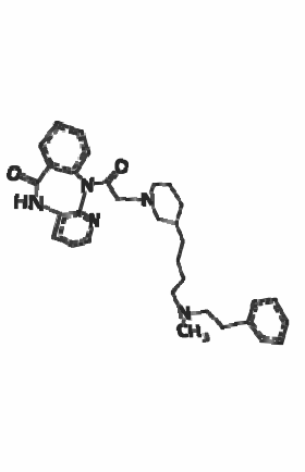 CN(CCCCC1CCCN(CC(=O)N2c3ccccc3C(=O)Nc3cccnc32)C1)CCc1ccccc1